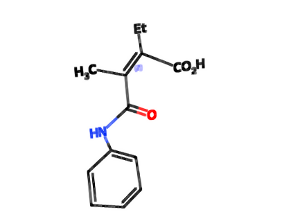 CC/C(C(=O)O)=C(\C)C(=O)Nc1ccccc1